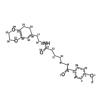 COc1ccc(C(=O)CCCCCC(=O)NCCC2=CC3=C(CC2)OCCO3)cc1